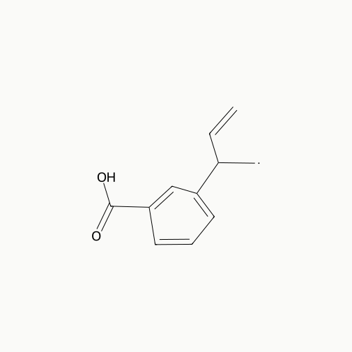 [CH2]C(C=C)c1cccc(C(=O)O)c1